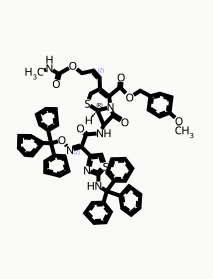 CNC(=O)OC/C=C\C1=C(C(=O)OCc2ccc(OC)cc2)N2C(=O)C(NC(=O)/C(=N\OC(c3ccccc3)(c3ccccc3)c3ccccc3)c3csc(NC(c4ccccc4)(c4ccccc4)c4ccccc4)n3)[C@H]2SC1